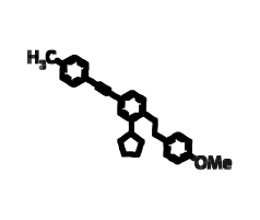 COc1ccc(CCc2ccc(C#Cc3ccc(C)cc3)cc2C2CCCC2)cc1